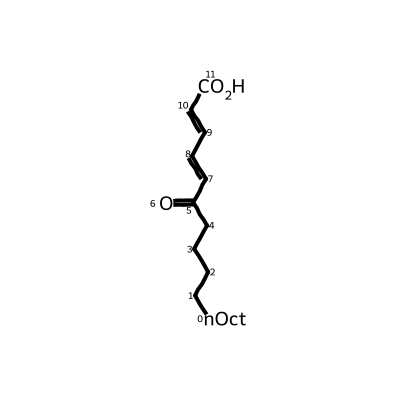 CCCCCCCCCCCCC(=O)C=CC=CC(=O)O